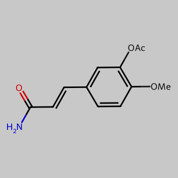 COc1ccc(/C=C/C(N)=O)cc1OC(C)=O